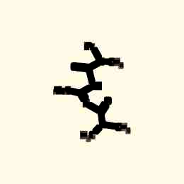 CSC(=NC(=O)N(C)C)NC(=O)N(C)C(C)C